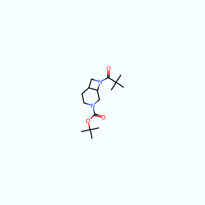 CC(C)(C)OC(=O)N1CCC2CN(C(=O)C(C)(C)C)C2C1